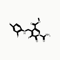 COC(=O)c1cn(C(N)=O)c(=O)c(F)c1CNc1ccc(I)cc1F